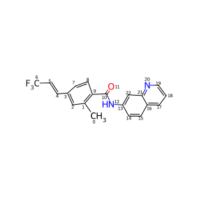 Cc1cc(C=CC(F)(F)F)ccc1C(=O)Nc1ccc2cccnc2c1